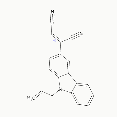 C=CCn1c2ccccc2c2cc(/C(C#N)=C/C#N)ccc21